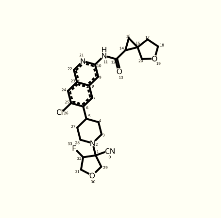 N#CC1(N2CCC(c3cc4cc(NC(=O)C5CC56CCOC6)ncc4cc3Cl)CC2)COCC1F